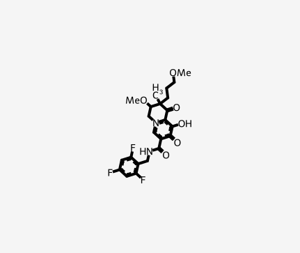 COCCCC1(C)C(=O)c2c(O)c(=O)c(C(=O)NCc3c(F)cc(F)cc3F)cn2CC1OC